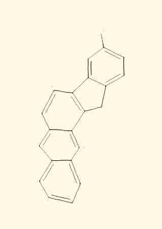 Brc1ccc2c(c1)-c1ccc3cc4ccccc4cc3c1C2